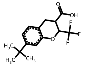 CC(C)(C)c1ccc2c(c1)OC(C(F)(F)F)C(C(=O)O)C2